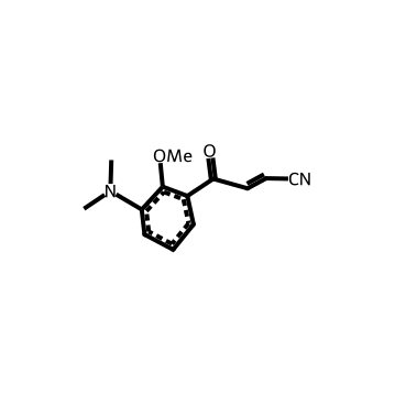 COc1c(C(=O)C=CC#N)cccc1N(C)C